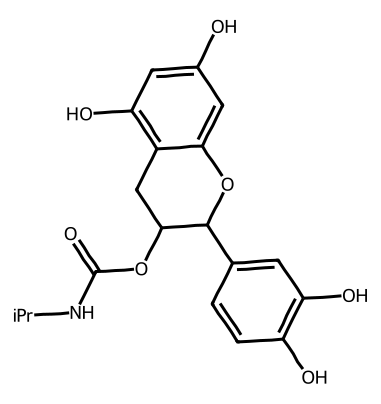 CC(C)NC(=O)OC1Cc2c(O)cc(O)cc2OC1c1ccc(O)c(O)c1